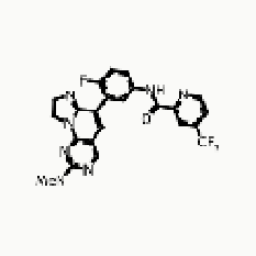 CNc1ncc2c(n1)N1CCN=C1C(c1cc(NC(=O)c3cc(C(F)(F)F)ccn3)ccc1F)=C2